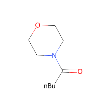 CCCCC(=O)N1CCOCC1